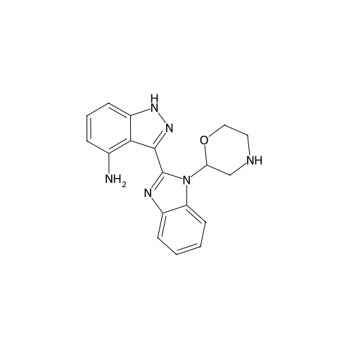 Nc1cccc2[nH]nc(-c3nc4ccccc4n3C3CNCCO3)c12